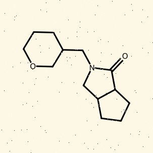 O=C1C2CCCC2CN1CC1CCCOC1